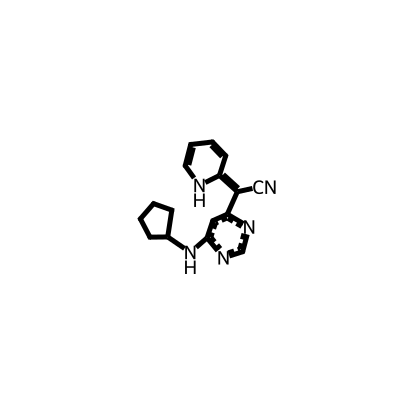 N#C/C(=C1\C=CC=CN1)c1cc(NC2CCCC2)ncn1